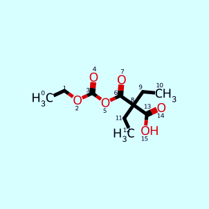 CCOC(=O)OC(=O)C(CC)(CC)C(=O)O